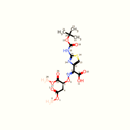 BOC(=O)C[C@H](O/N=C(\C(=O)O)c1csc(NC(=O)OC(C)(C)C)n1)C(=O)OB